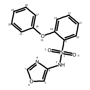 O=S(=O)(Nc1cocn1)c1ccccc1Oc1ccccc1